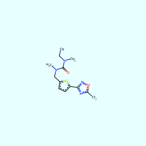 CN(CC#N)C(=O)N(C)Cc1ccc(-c2noc(C(F)(F)F)n2)s1